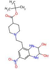 CC(C)(C)OC(=O)C1CCN(CCc2cc([N+](=O)[O-])cc3c2NC(O)C(O)N3)CC1